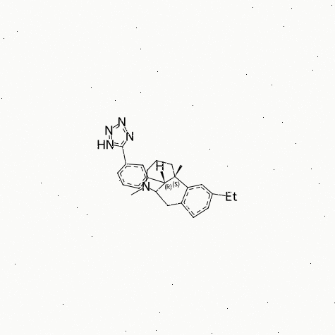 CCc1ccc2c(c1)[C@@]1(C)CCCN(C)C(C2)[C@@H]1c1cccc(-c2nnn[nH]2)c1